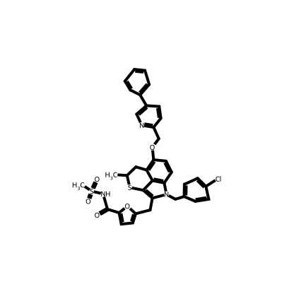 CC1Cc2c(OCc3ccc(-c4ccccc4)cn3)ccc3c2c(c(Cc2ccc(C(=O)NS(C)(=O)=O)o2)n3Cc2ccc(Cl)cc2)S1